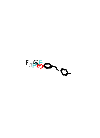 C[C@H]1CC[C@H](CCc2ccc(OC(F)(F)C(F)(F)F)cc2)CC1